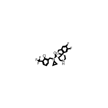 O=C([C@H]1CNCC[C@@]12OCc1cc(F)c(F)cc12)N(Cc1cccc(C(F)(F)F)c1Cl)C1CC1